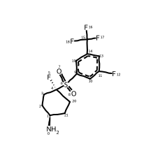 N[C@H]1CC[C@@](F)(S(=O)(=O)c2cc(F)cc(C(F)(F)F)c2)CC1